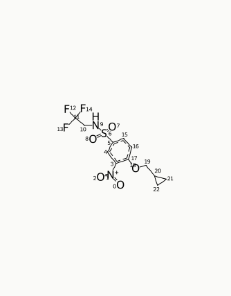 O=[N+]([O-])c1cc(S(=O)(=O)NCC(F)(F)F)ccc1OCC1CC1